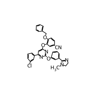 CN1CCN=C1c1cccc(Oc2nc(Oc3cc(C#N)ccc3OCc3ccccc3)cc(-c3cccc(Cl)c3)n2)c1